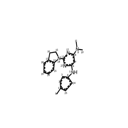 Cc1ccc(Nc2cc(N(C)C)nc(N3CCc4ccccc43)n2)cc1